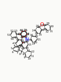 CC1(c2ccccc2)c2ccccc2-c2cc(N(c3cccc(-c4ccc5oc6ccccc6c5c4)c3)c3ccccc3-c3ccccc3-c3ccccc3-c3ccccc3)ccc21